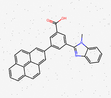 Cn1c(-c2cc(C(=O)O)cc(-c3cc4ccc5cccc6ccc(c3)c4c56)c2)nc2ccccc21